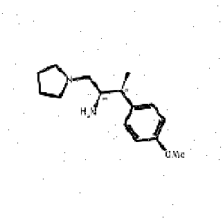 COc1ccc([C@H](C)[C@@H](N)CN2CCCC2)cc1